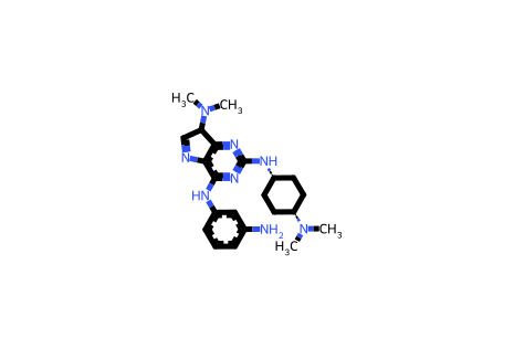 CN(C)C1C=Nc2c(Nc3cccc(N)c3)nc(N[C@H]3CC[C@@H](N(C)C)CC3)nc21